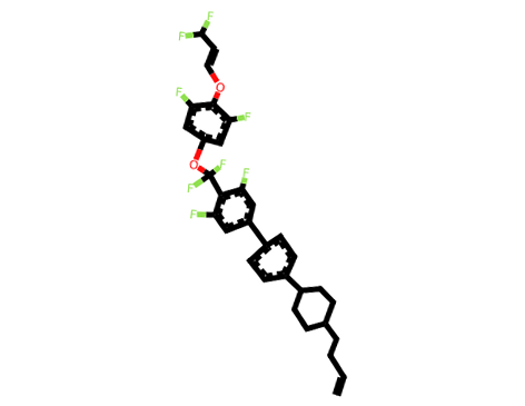 C=CCCC1CCC(c2ccc(-c3cc(F)c(C(F)(F)Oc4cc(F)c(O/C=C/C(F)F)c(F)c4)c(F)c3)cc2)CC1